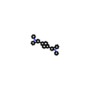 c1ccc(-n2c3ccccc3c3cc(-c4cc5ccc6cc(-c7ccc8c(c7)c7ccccc7n8-c7ccccc7)cc7ccc(c4)c5c67)ccc32)cc1